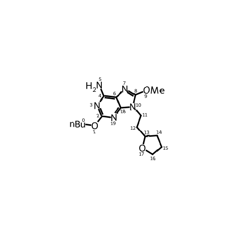 CCCCOc1nc(N)c2nc(OC)n(CCC3CCCO3)c2n1